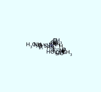 CNCc1ccc(CSCC/N=C(\NCC(O)c2cccc(NS(C)(=O)=O)c2)NS(C)(=O)=O)o1